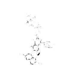 C#Cc1c(Cl)ccc2cc(O)cc(-c3c(Cl)cc4c(N5CC6CCC(C5)N6)nc(OCC5(CN6C[C@H]7COC[C@H]7C6)CC5)nc4c3F)c12